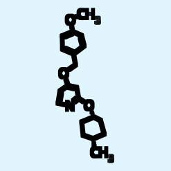 COc1ccc(COc2ccnc(O[C@H]3CC[C@H](C)CC3)c2)cc1